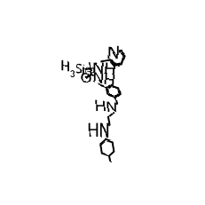 CC1CCC(NCCCNCc2cccc(CNC(=O)[C@](C)([SiH3])NCc3ccccn3)c2)CC1